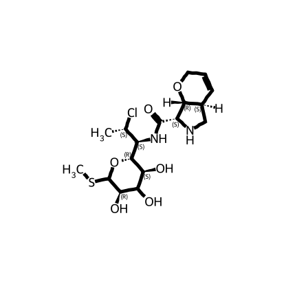 CSC1O[C@H]([C@H](NC(=O)[C@H]2NC[C@@H]3C=CCO[C@@H]23)[C@H](C)Cl)[C@@H](O)C(O)[C@H]1O